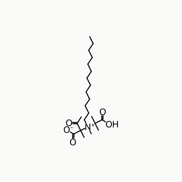 CCCCCCCCCCCCC[N+](C)(C(C)(C)C(=O)O)C(C)(C(C)=O)C(=O)[O-]